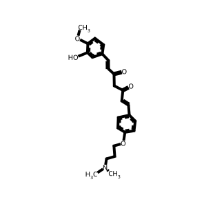 COc1ccc(C=CC(=O)CC(=O)C=Cc2ccc(OCCCN(C)C)cc2)cc1O